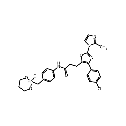 Cc1nccn1-c1nc(-c2ccc(Cl)cc2)c(CCC(=O)Nc2ccc(C[PH]3(O)OCCCO3)cc2)o1